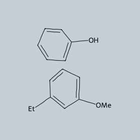 CCc1cccc(OC)c1.Oc1ccccc1